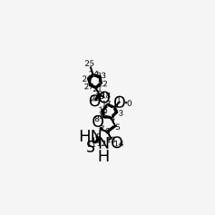 COc1cc(C=C2C(=O)NC(=S)NC2=O)ccc1OC(=O)c1ccc(C)cc1